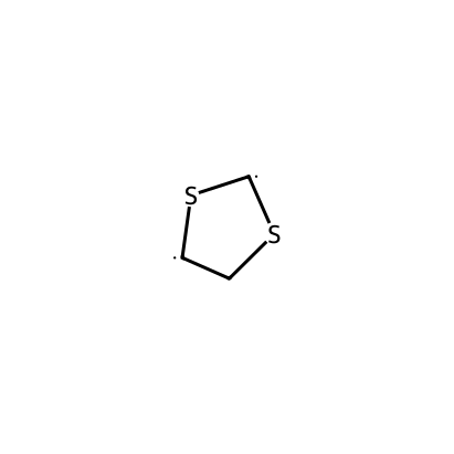 [CH]1CS[CH]S1